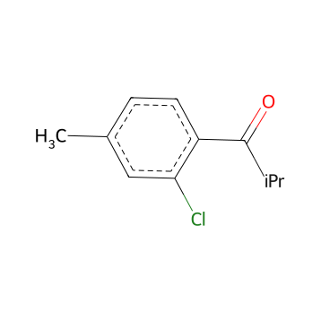 Cc1ccc(C(=O)C(C)C)c(Cl)c1